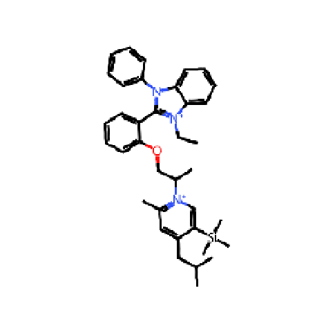 CC[n+]1c(-c2ccccc2OCC(C)[n+]2cc([Si](C)(C)C)c(CC(C)C)cc2C)n(-c2ccccc2)c2ccccc21